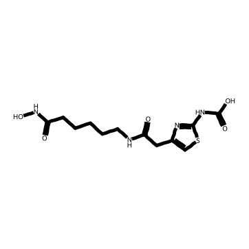 O=C(O)Nc1nc(CC(=O)NCCCCCC(=O)NO)cs1